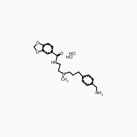 CN(CCCc1ccc(CN)cc1)CCNC(=O)c1ccc2c(c1)OCO2.Cl.Cl